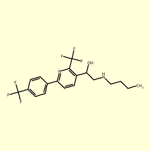 CCCCNCC(O)c1ccc(-c2ccc(C(F)(F)F)cc2)nc1C(F)(F)F